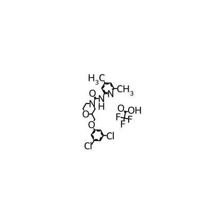 Cc1cc(C)nc(NC(=O)N2CCOC(COc3cc(Cl)cc(Cl)c3)C2)c1.O=C(O)C(F)(F)F